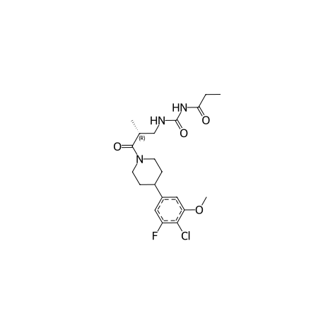 CCC(=O)NC(=O)NC[C@@H](C)C(=O)N1CCC(c2cc(F)c(Cl)c(OC)c2)CC1